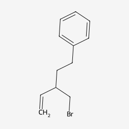 C=CC(CBr)CCc1ccccc1